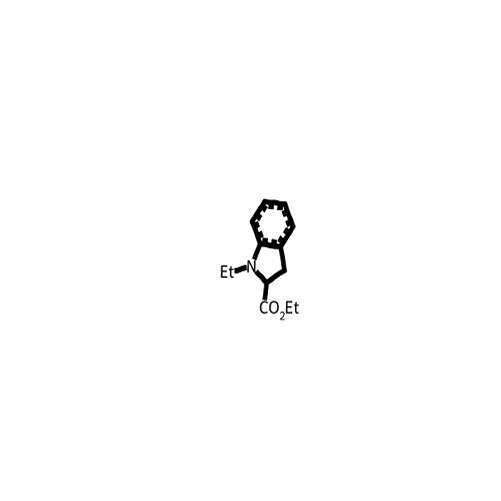 CCOC(=O)C1Cc2ccccc2N1CC